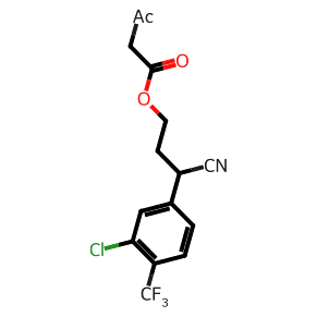 CC(=O)CC(=O)OCCC(C#N)c1ccc(C(F)(F)F)c(Cl)c1